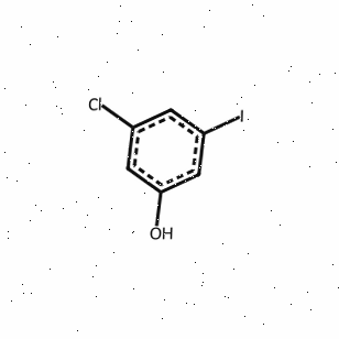 Oc1cc(Cl)cc(I)c1